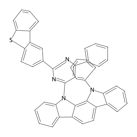 c1ccc(-c2cc(-n3c4ccccc4c4ccc5c6ccccc6n(-c6ccccc6)c5c43)nc(-c3ccc4sc5ccccc5c4c3)n2)cc1